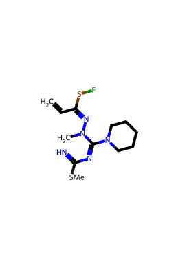 C=C/C(=N\N(C)/C(=N\C(=N)SC)N1CCCCC1)SF